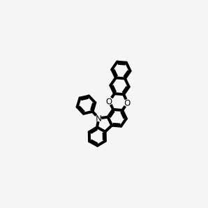 c1ccc(-n2c3ccccc3c3ccc4c(c32)Oc2cc3ccccc3cc2O4)cc1